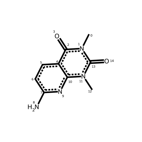 Cn1c(=O)c2ccc(N)nc2n(C)c1=O